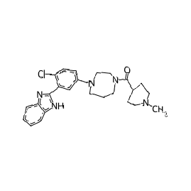 CN1CCC(C(=O)N2CCCN(c3ccc(Cl)c(-c4nc5ccccc5[nH]4)c3)CC2)CC1